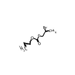 C=CCOC(=O)OCC(=C)Br